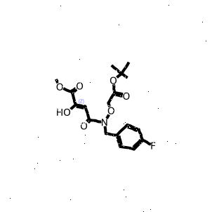 COC(=O)/C(O)=C/C(=O)N(Cc1ccc(F)cc1)OCC(=O)OC(C)(C)C